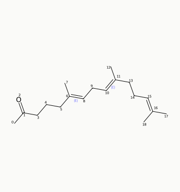 CC(=O)CCC/C(C)=C/C/C=C(\C)CCC=C(C)C